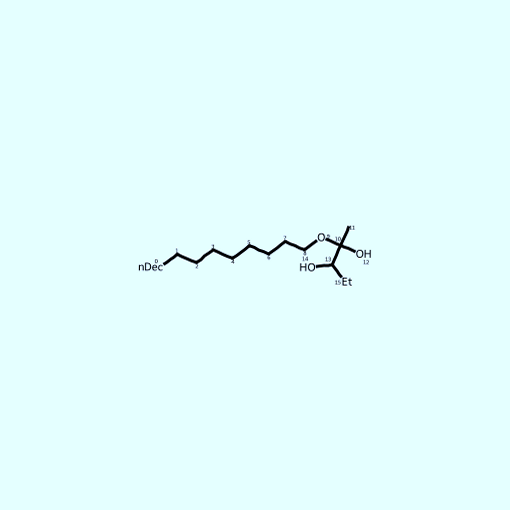 CCCCCCCCCCCCCCCCCCOC(C)(O)C(O)CC